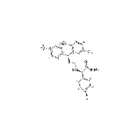 CNC(=O)[C@H](NCC[C@@H](c1ccc(C(F)(F)F)nc1)c1cc(Cl)ccc1OC)c1ccc(F)cc1